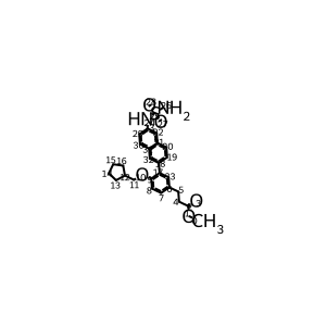 COC(=O)CCc1ccc(OCC2CCCC2)c(-c2ccc3cc(NS(N)(=O)=O)ccc3c2)c1